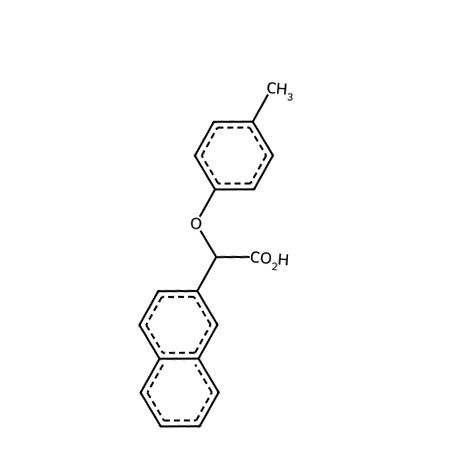 Cc1ccc(OC(C(=O)O)c2ccc3ccccc3c2)cc1